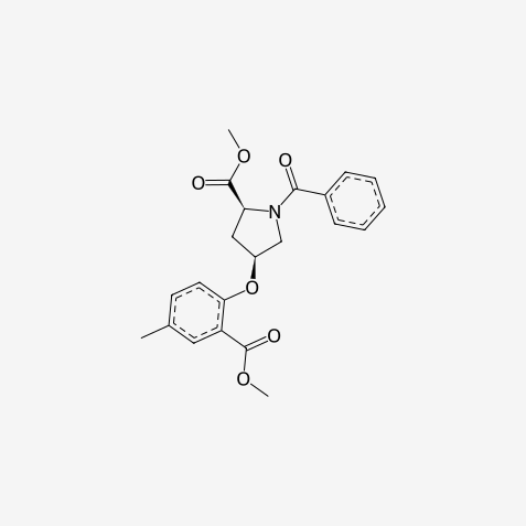 COC(=O)c1cc(C)ccc1O[C@H]1C[C@@H](C(=O)OC)N(C(=O)c2ccccc2)C1